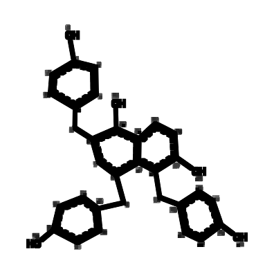 Oc1ccc(Cc2cc(Cc3ccc(O)cc3)c3c(Cc4ccc(O)cc4)c(O)ccc3c2O)cc1